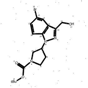 CC(C)(C)OC(=O)N1CCC(n2nc(CO)c3cc(Br)ccc32)C1